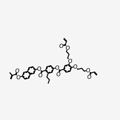 C=CC(=O)OCCCOc1ccc(C(=O)Oc2ccc(C(=O)Oc3ccc4cc(OC(=O)C(=C)C)ccc4c3)c(CCC)c2)cc1OCCCOC(=O)C=C